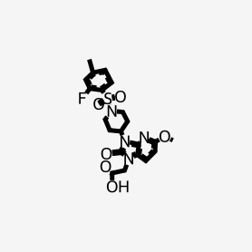 COc1ccc2c(n1)n(C1CCN(S(=O)(=O)c3ccc(C)cc3F)CC1)c(=O)n2CC(=O)O